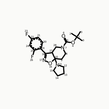 CC(C)(C)OC(=O)N1CCC2(N3CCCC3)ON=C(c3ccc(F)cc3F)C2C1